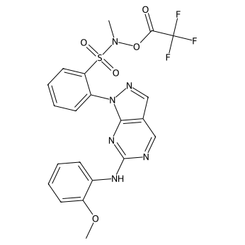 COc1ccccc1Nc1ncc2cnn(-c3ccccc3S(=O)(=O)N(C)OC(=O)C(F)(F)F)c2n1